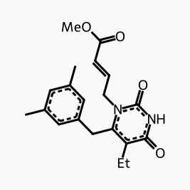 CCc1c(Cc2cc(C)cc(C)c2)n(CC=CC(=O)OC)c(=O)[nH]c1=O